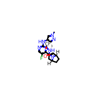 Cn1cc(Nc2ncc(F)c(C3=C[C@@H]4CC[C@H](C3)N4C(=O)NCC(F)(F)F)n2)cn1